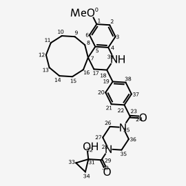 COc1ccc2c(c1)C1(CCCCCCCCC1)CC(c1ccc(C(=O)N3CCN(C(=O)C4(O)CC4)CC3)cc1)N2